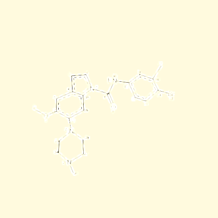 COc1cc2ccn(C(=O)Nc3ccc(Br)c(C)c3)c2cc1N1CCN(C)CC1